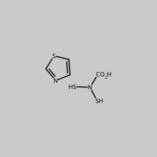 O=C(O)N(S)S.c1cscn1